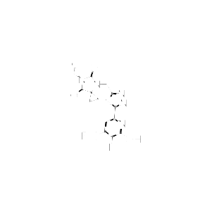 O=C1N(CC(F)(F)F)C(=O)C2(CC2)N1Cc1nnc(-c2cc(C(F)(F)F)c(F)c(O)n2)s1